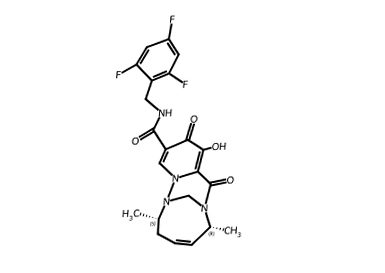 C[C@@H]1C=CC[C@H](C)N2CN1C(=O)c1c(O)c(=O)c(C(=O)NCc3c(F)cc(F)cc3F)cn12